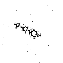 CC1CN(C2CCN(C3CC4(CCNCC4)C3)CC2)C1